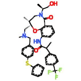 CC(C(=O)Nc1cccc2c1O[C@H](CN(C)Cc1ccc(Sc3ccccc3)cc1)[C@H](C)CN([C@@H](C)CO)C2=O)c1ccc(C(F)(F)F)cc1